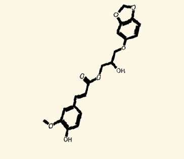 COc1cc(/C=C/C(=O)OCC(O)COc2ccc3c(c2)OCO3)ccc1O